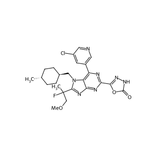 COCC(C)(F)c1nc2nc(-c3n[nH]c(=O)o3)nc(-c3cncc(Cl)c3)c2n1C[C@H]1CC[C@H](C)CC1